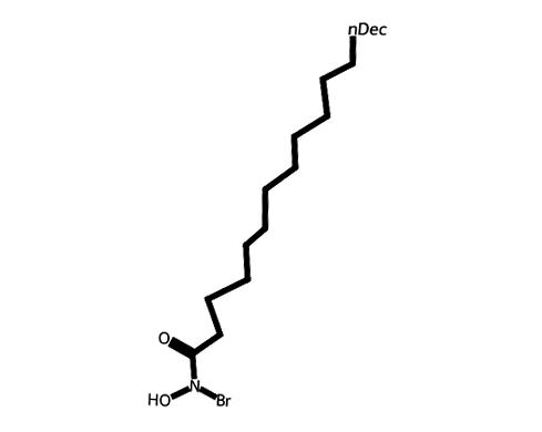 CCCCCCCCCCCCCCCCCCCCCC(=O)N(O)Br